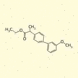 CCOC(=O)C(C)c1ccc(-c2cccc(OC)c2)cc1